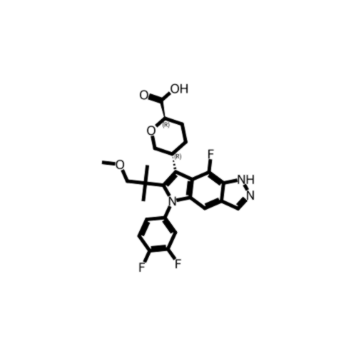 COCC(C)(C)c1c([C@H]2CC[C@H](C(=O)O)OC2)c2c(F)c3[nH]ncc3cc2n1-c1ccc(F)c(F)c1